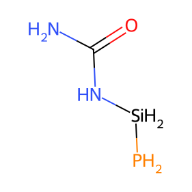 NC(=O)N[SiH2]P